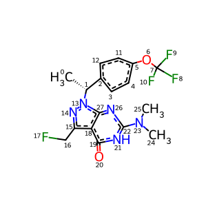 C[C@H](c1ccc(OC(F)(F)F)cc1)n1nc(CF)c2c(=O)[nH]c(N(C)C)nc21